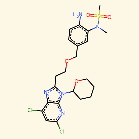 CN(c1cc(COCCc2nc3c(Cl)cc(Cl)nc3n2C2CCCCO2)ccc1N)S(C)(=O)=O